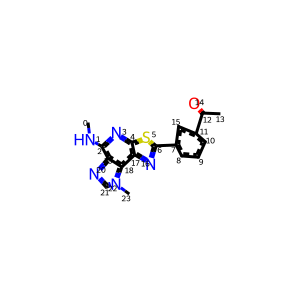 CNc1nc2sc(-c3cccc(C(C)=O)c3)nc2c2c1ncn2C